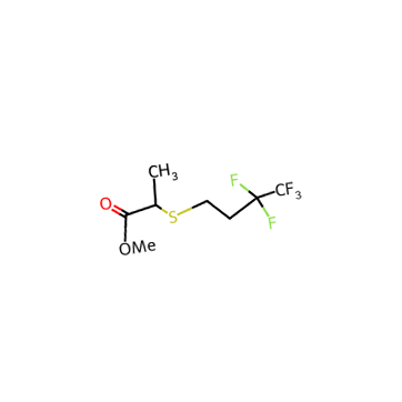 COC(=O)C(C)SCCC(F)(F)C(F)(F)F